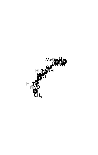 COc1cc2c(cc1OCCCC(=O)Nc1cc(C(=O)Nc3ccc(-c4cc(C(=O)Nc5ccc(C)cc5)n(C)c4)cc3)n(C)c1)NC[C@@H]1CCCCN1C2=O